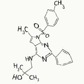 Cc1ccc(S(=O)(=O)n2c(C)cc3c(NCC(C)(C)O)nc(-c4ccccc4)nc32)cc1